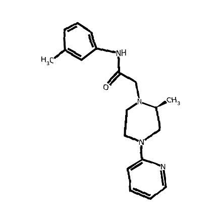 Cc1cccc(NC(=O)CN2CCN(c3ccccn3)C[C@@H]2C)c1